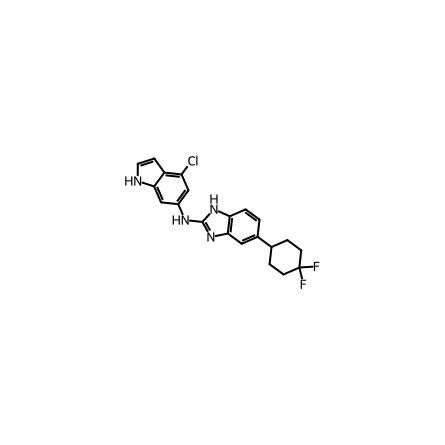 FC1(F)CCC(c2ccc3[nH]c(Nc4cc(Cl)c5cc[nH]c5c4)nc3c2)CC1